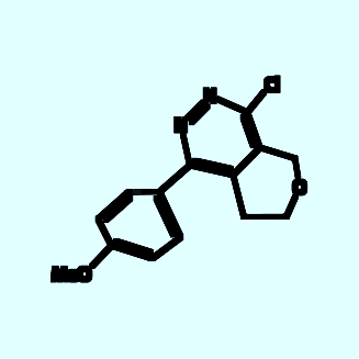 COc1ccc(-c2nnc(Cl)c3c2CCOC3)cc1